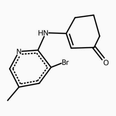 Cc1cnc(NC2=CC(=O)CCC2)c(Br)c1